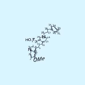 COc1ccc2nccc(CCC[C@@H]3CCN(CCCc4ccc(C)cc4)C[C@@H]3CC(=O)O)c2c1